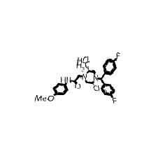 COc1ccc(NC(=O)CN2C[C@H](C)N(C(c3ccc(F)cc3)c3ccc(F)cc3)C[C@H]2C)cc1.Cl